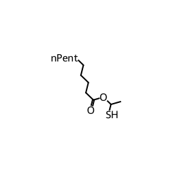 CCCCCCCCCC(=O)OC(C)S